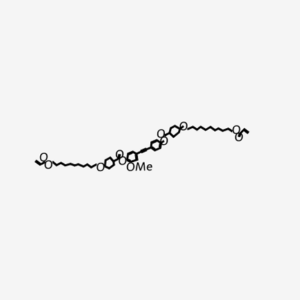 C=CC(=O)OCCCCCCCCCCCOC1CCC(C(=O)Oc2ccc(C#Cc3ccc(OC(=O)C4CCC(OCCCCCCCCCCCOC(=O)C=C)CC4)c(OC)c3)cc2)CC1